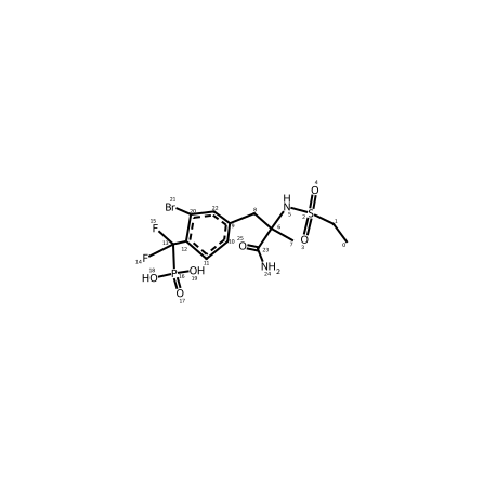 CCS(=O)(=O)NC(C)(Cc1ccc(C(F)(F)P(=O)(O)O)c(Br)c1)C(N)=O